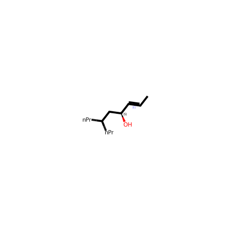 C/C=C/[C@@H](O)CC(CCC)CCC